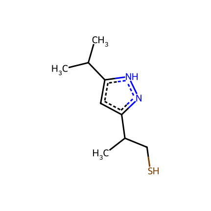 CC(C)c1cc(C(C)CS)n[nH]1